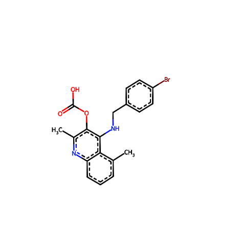 Cc1nc2cccc(C)c2c(NCc2ccc(Br)cc2)c1OC(=O)O